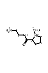 NCCNC(=O)C1CCCN1C=O